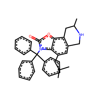 CC(C)Cc1cc2c(c3oc(=O)n(C(c4ccccc4)(c4ccccc4)c4ccccc4)c13)CC(C)NC2